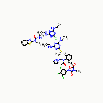 CCNc1nc(Cl)nc(NCC)n1.CCNc1nc(NCC)nc(SC)n1.CNC(=O)N(C)c1nc2ccccc2s1.Cc1cccc(C)c1N(Cn1cccn1)C(=O)CCl.Cn1c(=O)on(-c2ccc(Cl)c(Cl)c2)c1=O